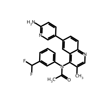 CC(=O)N(c1cccc(C(F)F)c1)c1c(C)cnc2ccc(-c3ccc(N)nc3)cc12